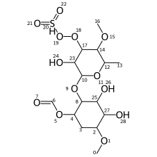 COC1CC(OC=O)C(OC2OC(C)C(OC)C(OO[SH](=O)=O)C2O)C(O)C1O